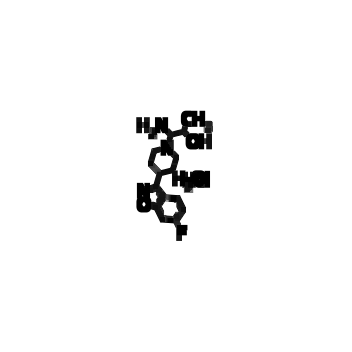 CC(O)C(N)N1CCC(c2noc3cc(F)ccc23)CC1.Cl.O